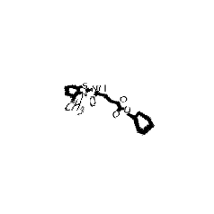 Cc1cccc2sc(NC(=O)CCC(=O)C(=O)OCc3ccccc3)nc12